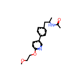 COCCOc1ccc(-c2ccc(CC(C)NC(C)=O)cc2)cn1